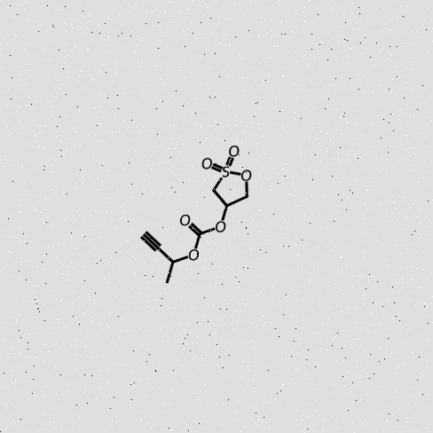 C#CC(C)OC(=O)OC1COS(=O)(=O)C1